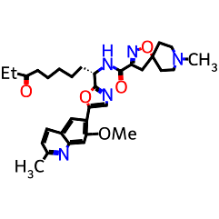 CCC(=O)CCCCC[C@H](NC(=O)C1=NOC2(CCN(C)CC2)C1)c1ncc(-c2cc3ccc(C)nc3cc2OC)o1